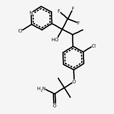 CC(c1ccc(OC(C)(C)C(N)=O)cc1Cl)C(O)(c1ccnc(Cl)c1)C(F)(F)F